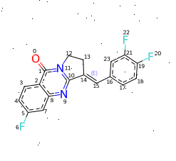 O=c1c2ccc(F)cc2nc2n1CC/C2=C\c1ccc(F)c(F)c1